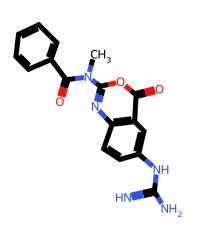 CN(C(=O)c1ccccc1)c1nc2ccc(NC(=N)N)cc2c(=O)o1